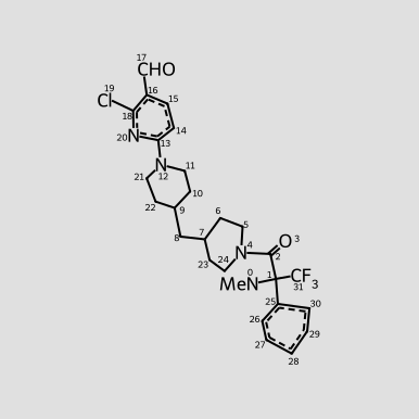 CNC(C(=O)N1CCC(CC2CCN(c3ccc(C=O)c(Cl)n3)CC2)CC1)(c1ccccc1)C(F)(F)F